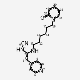 N#CNC(=Nc1ccncc1)NCCCCCCn1ccccc1=O